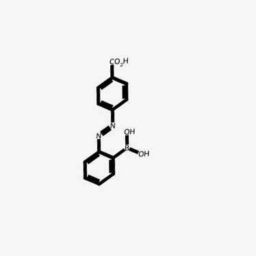 O=C(O)c1ccc(N=Nc2ccccc2B(O)O)cc1